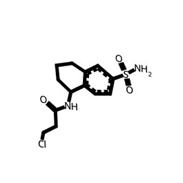 NS(=O)(=O)c1ccc2c(c1)CCCC2NC(=O)CCCl